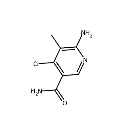 Cc1c(N)ncc(C(N)=O)c1Cl